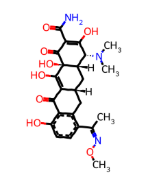 CO/N=C(/C)c1ccc(O)c2c1C[C@H]1C[C@H]3[C@@H](N(C)C)C(O)=C(C(N)=O)C(=O)[C@@]3(O)C(O)=C1C2=O